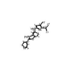 Cc1cc(Nc2cc3[nH]c(-c4ccncc4)cc3cn2)nn1C(C)C